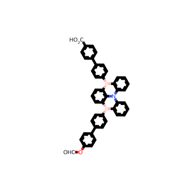 O=COc1ccc(-c2ccc(B3c4ccccc4N4c5ccccc5B(c5ccc(-c6ccc(C(=O)O)cc6)cc5)c5cccc3c54)cc2)cc1